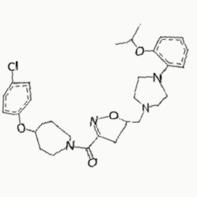 CC(C)Oc1ccccc1N1CCN(CC2CC(C(=O)N3CCC(Oc4ccc(Cl)cc4)CC3)=NO2)CC1